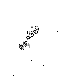 O=C(Cc1ccc(-c2cnc(Nc3cnccn3)nc2)cc1F)Nc1cc(C2(C(F)(F)F)CC2)on1